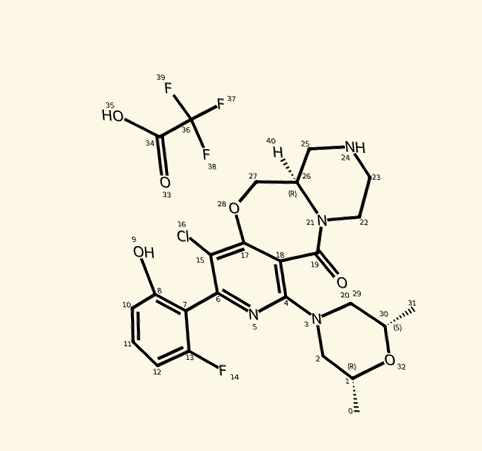 C[C@@H]1CN(c2nc(-c3c(O)cccc3F)c(Cl)c3c2C(=O)N2CCNC[C@@H]2CO3)C[C@H](C)O1.O=C(O)C(F)(F)F